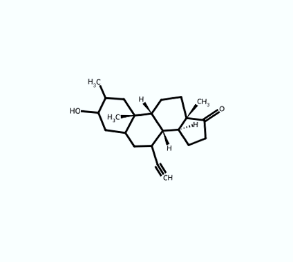 C#CC1CC2CC(O)C(C)C[C@]2(C)[C@@H]2CC[C@]3(C)C(=O)CC[C@H]3[C@H]12